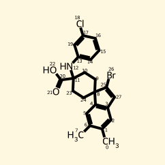 Cc1cc2c(cc1C)C1(CCC(Nc3cccc(Cl)c3)(C(=O)O)CC1)C(Br)=C2